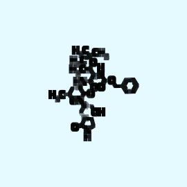 CC(C)C[C@H](NC(=O)[C@@H](NC(=O)OCc1ccccc1)[C@@H](C)OC(C)(C)C)C(=O)N[C@H](CO)C[C@@H]1CCNC1=O